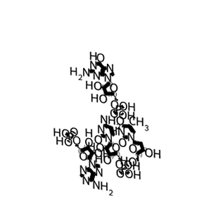 Cc1cn([C@H]2C[C@H](O)[C@@H](CO)O2)c(=O)[nH]c1=O.Nc1ccn([C@@H]2O[C@H](COP(=O)(O)O)[C@@H](O)[C@H]2O)c(=O)n1.Nc1nc2c(ncn2[C@@H]2O[C@H](COP(=O)(O)O)[C@@H](O)[C@H]2O)c(=O)[nH]1.Nc1ncnc2c1ncn2[C@@H]1O[C@H](COP(=O)(O)O)[C@@H](O)[C@H]1O